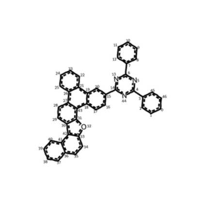 c1ccc(-c2nc(-c3ccccc3)nc(-c3ccc4c(c3)c3ccccc3c3ccc5c(oc6ccc7ccccc7c65)c34)n2)cc1